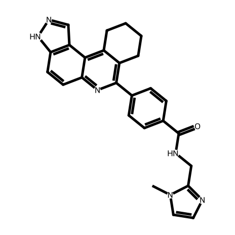 Cn1ccnc1CNC(=O)c1ccc(-c2nc3ccc4[nH]ncc4c3c3c2CCCC3)cc1